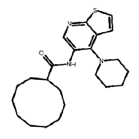 O=C(Nc1cnc2sccc2c1N1CCCCC1)C1CCCCCCCCC1